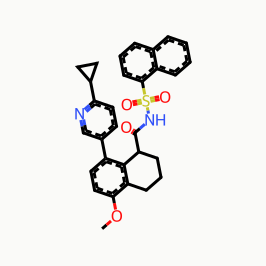 COc1ccc(-c2ccc(C3CC3)nc2)c2c1CCCC2C(=O)NS(=O)(=O)c1cccc2ccccc12